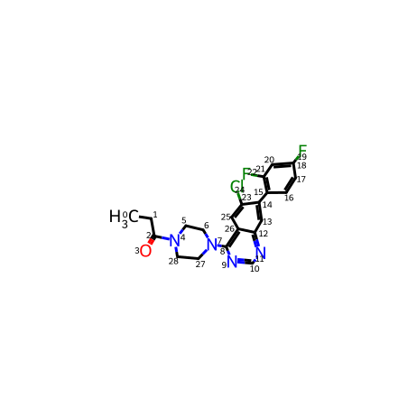 CCC(=O)N1CCN(c2ncnc3cc(-c4ccc(F)cc4F)c(Cl)cc23)CC1